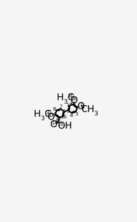 COc1ccc(-c2ccc(OC)c(C(=O)O)c2)cc1OC